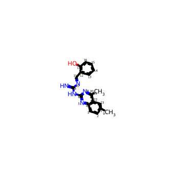 Cc1ccc2nc(NC(=N)/N=C/c3ccccc3O)nc(C)c2c1